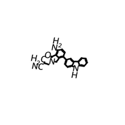 C=C(C#N)CN1Cc2c(-c3ccc4[nH]c5ccccc5c4c3)ccc(N)c2C1=O